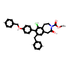 CC(C)(C)OC(=O)N1CCc2c(cc(Cc3ccccc3)c(-c3ccc(OCc4ccccc4)cc3)c2Cl)CC1=O